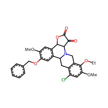 CCOc1c(OC)cc(Cl)c2c1CN1C(C2)c2cc(OCc3ccccc3)c(OC)cc2C2OC(=O)C(=O)C21